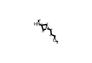 CNC1CN(CCCOC)C1